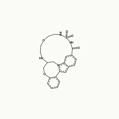 O=C1NS(=O)(=O)NCCOCCNC2COc3ccccc3-c3cc4ccc1cc4n3C2